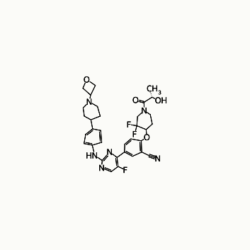 C[C@H](O)C(=O)N1CCC(Oc2ccc(-c3nc(Nc4ccc(C5CCN(C6COC6)CC5)cc4)ncc3F)cc2C#N)C(F)(F)C1